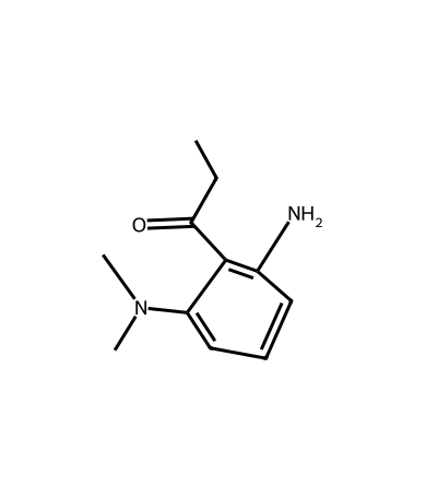 CCC(=O)c1c(N)cccc1N(C)C